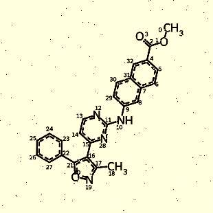 COC(=O)c1ccc2cc(Nc3nccc(-c4c(C)noc4-c4ccccc4)n3)ccc2c1